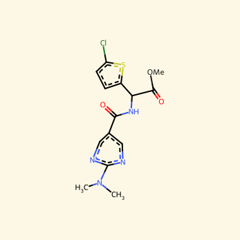 COC(=O)C(NC(=O)c1cnc(N(C)C)nc1)c1ccc(Cl)s1